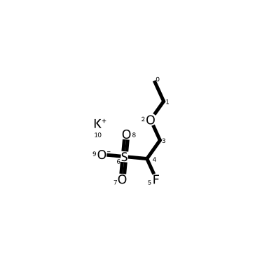 CCOCC(F)S(=O)(=O)[O-].[K+]